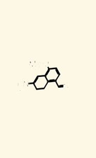 COc1ccc(C=S)c2c1C=C([N+](=O)[O-])CC2